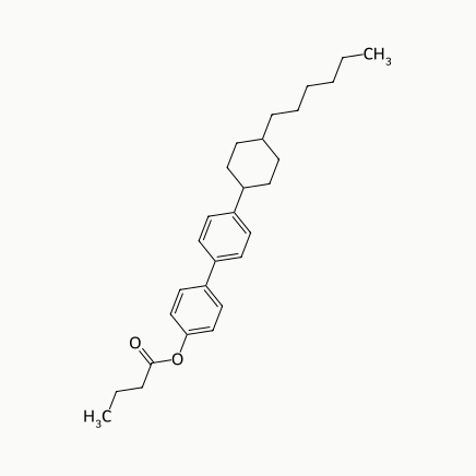 CCCCCCC1CCC(c2ccc(-c3ccc(OC(=O)CCC)cc3)cc2)CC1